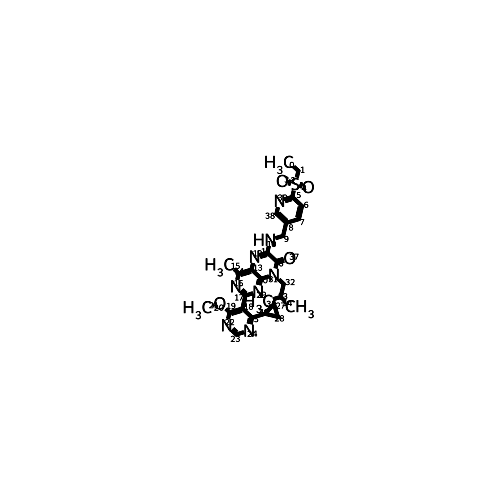 CCS(=O)(=O)c1ccc(CNc2nc3c(C)nc(-c4c(OC)ncnc4C4CC4)nc3n(CC(C)C)c2=O)cn1